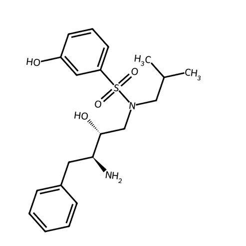 CC(C)CN(C[C@@H](O)[C@@H](N)Cc1ccccc1)S(=O)(=O)c1cccc(O)c1